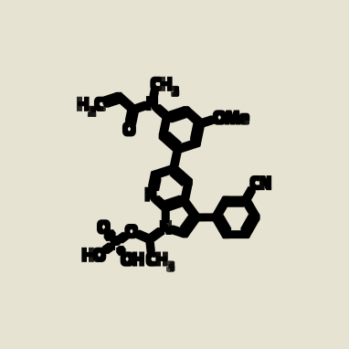 C=CC(=O)N(C)c1cc(OC)cc(-c2cnc3c(c2)c(-c2cccc(C#N)c2)cn3C(C)OP(=O)(O)O)c1